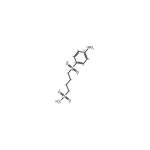 CS(=O)(=O)C[CH]CCS(=O)(=O)c1ccc([N+](=O)[O-])cc1